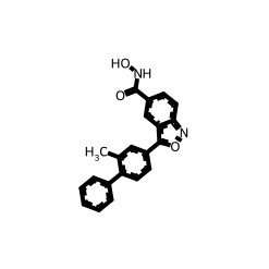 Cc1cc(-c2onc3ccc(C(=O)NO)cc23)ccc1-c1ccccc1